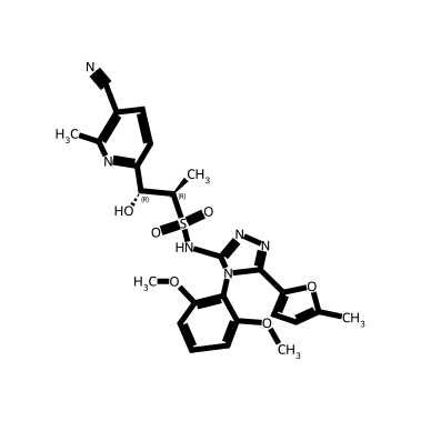 COc1cccc(OC)c1-n1c(NS(=O)(=O)[C@H](C)[C@H](O)c2ccc(C#N)c(C)n2)nnc1-c1ccc(C)o1